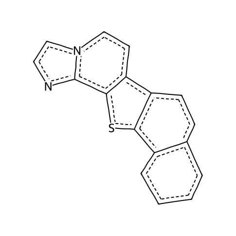 c1ccc2c(c1)ccc1c3ccn4ccnc4c3sc21